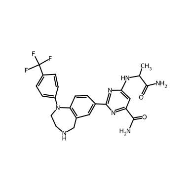 CC(Nc1cc(C(N)=O)nc(-c2ccc3c(c2)CNCCN3c2ccc(C(F)(F)F)cc2)n1)C(N)=O